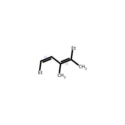 CC/C=C\C(C)=C(\C)CC